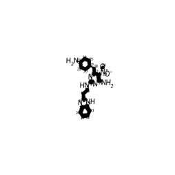 Nc1nc(NCCc2nc3ccccc3[nH]2)nc(C[C@H]2CC[C@H](N)CC2)c1[N+](=O)[O-]